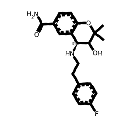 CC1(C)Oc2ccc(C(N)=O)cc2[C@H](NCCc2ccc(F)cc2)C1O